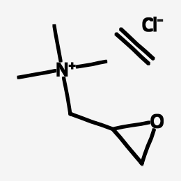 C=C.C[N+](C)(C)CC1CO1.[Cl-]